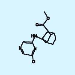 COC(=O)C1C2CCC(CC2)C1Nc1cncc(Cl)n1